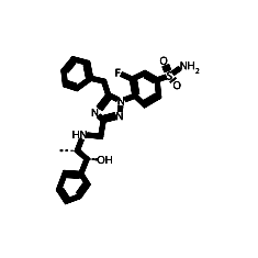 C[C@H](NCc1nc(Cc2ccccc2)n(-c2ccc(S(N)(=O)=O)cc2F)n1)[C@H](O)c1ccccc1